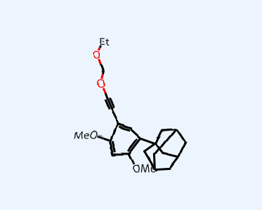 CCOCOC#Cc1cc(C23CC4CC(CC(C4)C2)C3)c(OC)cc1OC